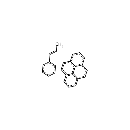 CC=Cc1ccccc1.c1cc2ccc3cccc4ccc(c1)c2c34